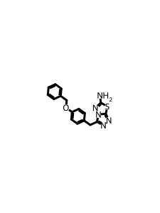 Nc1nn2c(Cc3ccc(OCc4ccccc4)cc3)nnc2s1